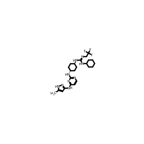 Cc1cc(Nc2ccnc(N[C@H]3CC[C@H](N/C(=N/CC(F)(F)F)NC4CCCCC4)CC3)n2)n[nH]1